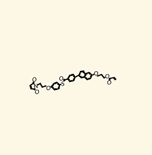 C=CC(=O)OCCCOc1ccc2cc(-c3ccc(C(=O)Sc4ccc(OCCCN5C(=O)C=CC5=O)cc4)cc3)ccc2c1